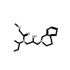 CCC(C)N(CC(O)CN1CCc2ccccc2C1)C(=O)COC